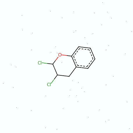 ClC1Cc2ccccc2OC1Cl